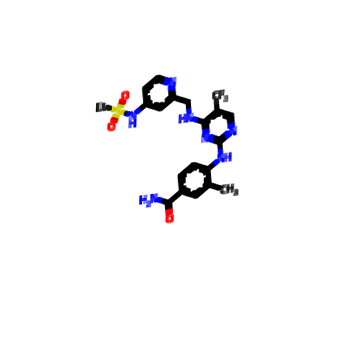 CCS(=O)(=O)Nc1ccnc(CNc2nc(Nc3ccc(C(N)=O)cc3C)ncc2C(F)(F)F)c1